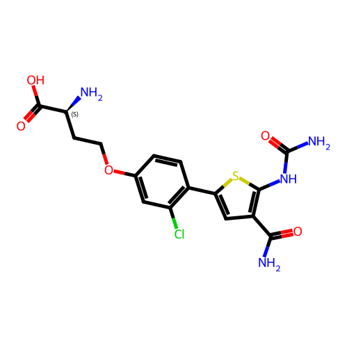 NC(=O)Nc1sc(-c2ccc(OCC[C@H](N)C(=O)O)cc2Cl)cc1C(N)=O